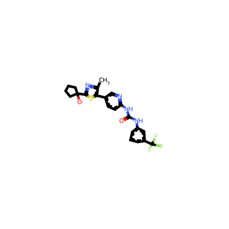 Cc1nc(C2([O])CCCC2)sc1-c1ccc(NC(=O)Nc2cccc(C(F)(F)F)c2)nc1